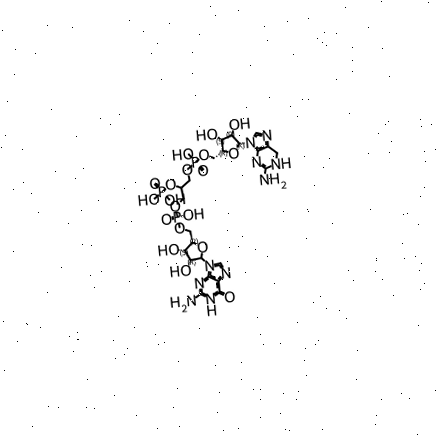 NC1=Nc2c(ncn2[C@@H]2O[C@H](COP(=O)(O)OCC(COP(=O)(O)OC[C@H]3OC(n4cnc5c(=O)[nH]c(N)nc54)[C@H](O)[C@@H]3O)OP(=O)(O)O)[C@@H](O)[C@H]2O)CN1